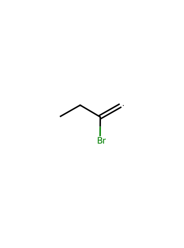 [CH]=C(Br)CC